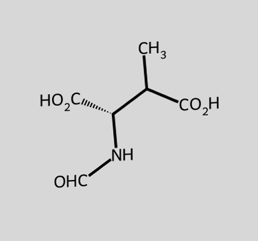 CC(C(=O)O)[C@H](NC=O)C(=O)O